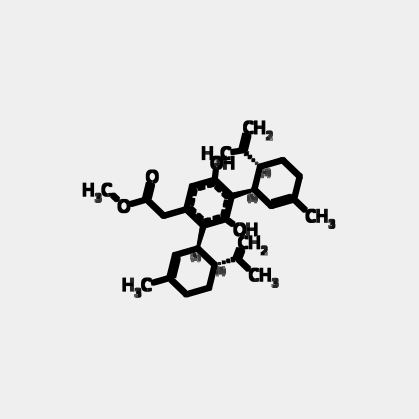 C=C(C)[C@@H]1CCC(C)=C[C@H]1c1c(O)cc(CC(=O)OC)c([C@@H]2C=C(C)CC[C@H]2C(=C)C)c1O